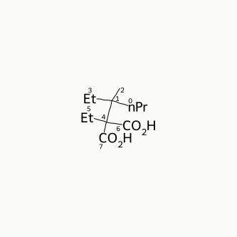 CCCC(C)(CC)C(CC)(C(=O)O)C(=O)O